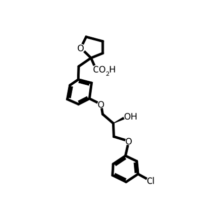 O=C(O)C1(Cc2cccc(OC[C@@H](O)COc3cccc(Cl)c3)c2)CCCO1